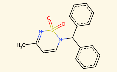 CC1=NS(=O)(=O)N(C(c2ccccc2)c2ccccc2)C=C1